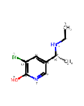 CCN[C@H](C)c1cnc(O)c(Br)c1